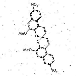 COc1cc2cc([N+](=O)[O-])ccc2c2c1OC1(C=C2)C=Cc2c(c(OC)cc3cc([N+](=O)[O-])ccc23)O1